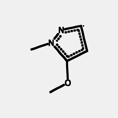 COc1c[c]nn1C